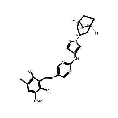 COc1cc(C)c(Cl)c(COc2cnc(Nc3cnn([C@@H]4C[C@H]5CC[C@@H](C4)N5)c3)nc2)c1Cl